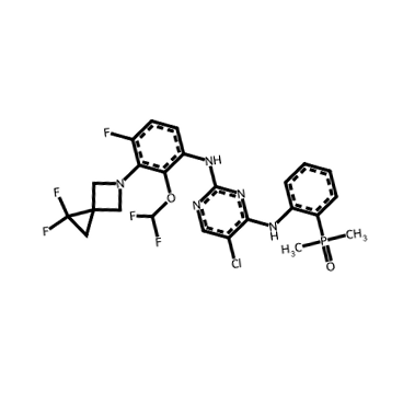 CP(C)(=O)c1ccccc1Nc1nc(Nc2ccc(F)c(N3CC4(C3)CC4(F)F)c2OC(F)F)ncc1Cl